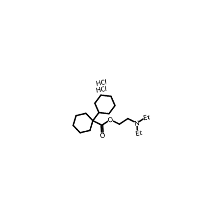 CCN(CC)CCOC(=O)C1(C2CCCCC2)CCCCC1.Cl.Cl